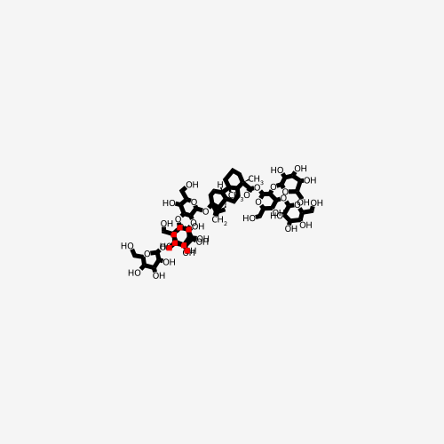 C=C1C[C@@]23CCC4[C@](C)(C(=O)OC5OC(CO)C(O)C(OC6OC(CO)C(O)C(O)C6O)C5OC5OC(CO)C(O)C(O)C5O)CCC[C@@]4(C)[C@@H]2CCC1(OC1OC(CO)C(O)C(OC2OC(COC4OC(CO)C(O)C(O)C4O)C(O)C(O)C2O)C1OC1OC(CO)C(O)C(O)C1O)C3